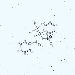 O=C(CC(C[N+](=O)[O-])(c1ccccc1)C(F)(F)F)c1ccccn1